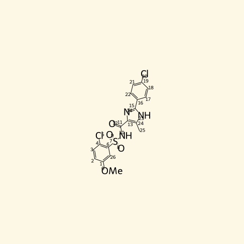 COc1ccc(Cl)c(S(=O)(=O)NC(=O)c2nc(-c3ccc(Cl)cc3)[nH]c2C)c1